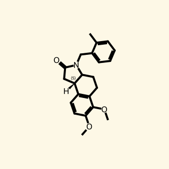 COc1ccc2c(c1OC)CCC1[C@H]2CC(=O)N1Cc1ccccc1C